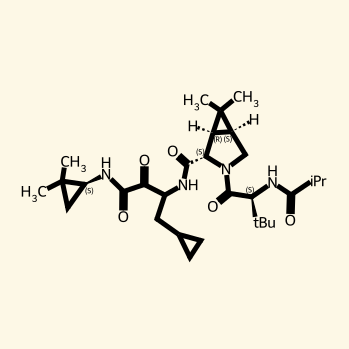 CC(C)C(=O)N[C@H](C(=O)N1C[C@H]2[C@@H]([C@H]1C(=O)NC(CC1CC1)C(=O)C(=O)N[C@H]1CC1(C)C)C2(C)C)C(C)(C)C